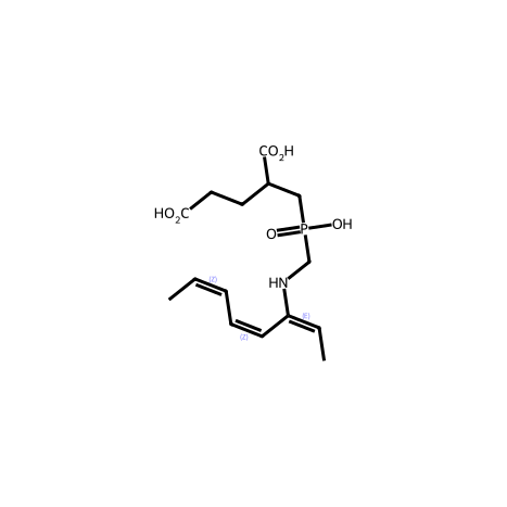 C\C=C/C=C\C(=C/C)NCP(=O)(O)CC(CCC(=O)O)C(=O)O